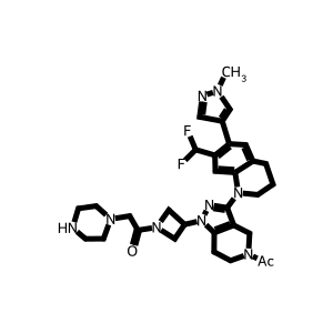 CC(=O)N1CCc2c(c(N3CCCc4cc(-c5cnn(C)c5)c(C(F)F)cc43)nn2C2CN(C(=O)CN3CCNCC3)C2)C1